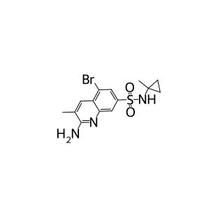 Cc1cc2c(Br)cc(S(=O)(=O)NC3(C)CC3)cc2nc1N